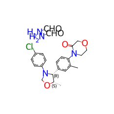 Cc1cc([C@@H]2[C@H](C)OCN2c2ccc(Cl)cc2)ccc1N1CCOCC1=O.NC=O.NC=O